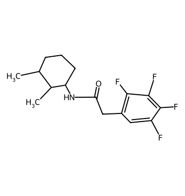 CC1CCCC(NC(=O)Cc2cc(F)c(F)c(F)c2F)C1C